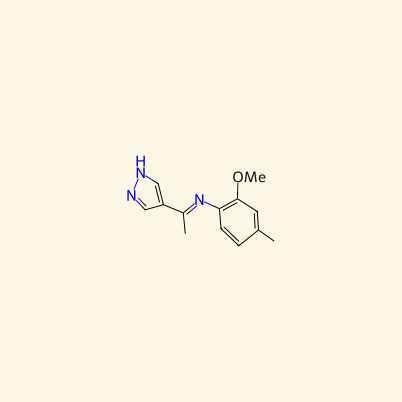 COc1cc(C)ccc1/N=C(\C)c1cn[nH]c1